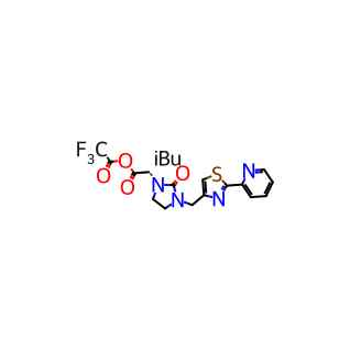 CC[C@H](C)[C@@H](C(=O)OC(=O)C(F)(F)F)N1CCN(Cc2csc(-c3ccccn3)n2)C1=O